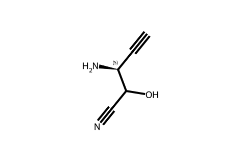 C#C[C@H](N)C(O)C#N